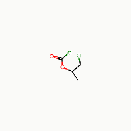 CC(CCl)OC(=O)Cl